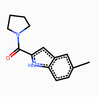 Cc1ccc2[nH]c(C(=O)N3CCCC3)cc2c1